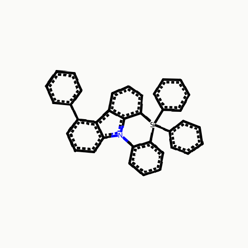 c1ccc(-c2cccc3c2c2cccc4c2n3-c2ccccc2[Si]4(c2ccccc2)c2ccccc2)cc1